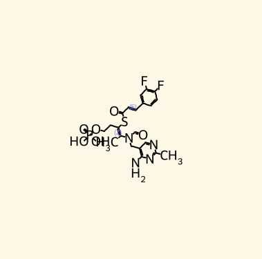 C/C(=C(\CCOP(=O)(O)O)SC(=O)/C=C/c1ccc(F)c(F)c1)N(C=O)Cc1cnc(C)nc1N